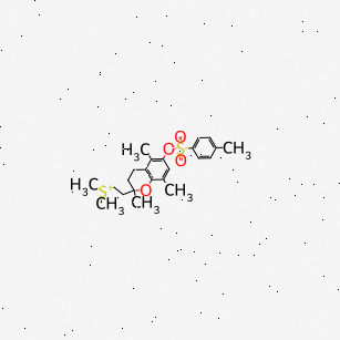 Cc1ccc(S(=O)(=O)Oc2cc(C)c3c(c2C)CCC(C)(CC[S+](C)C)O3)cc1